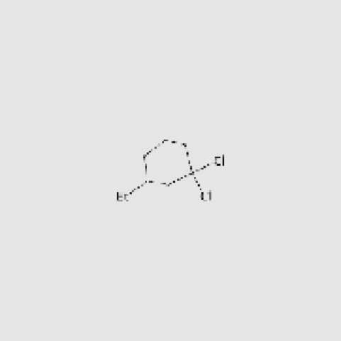 [CH2]CC1CCCC(Cl)(Cl)C1